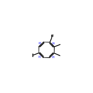 CC1=C/C=C(I)\C=C/C(F)=C\1C